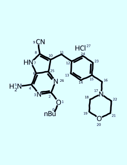 CCCCOc1nc(N)c2[nH]c(C#N)c(Cc3ccc(CN4CCOCC4)cc3)c2n1.Cl